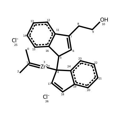 C[C](C)=[Zr+2][C]1(C2C=C(CCO)c3ccccc32)C=Cc2ccccc21.[Cl-].[Cl-]